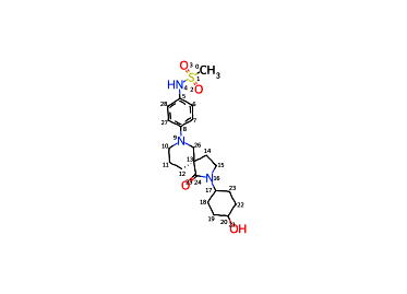 CS(=O)(=O)Nc1ccc(N2CCC[C@@]3(CCN(C4CCC(O)CC4)C3=O)C2)cc1